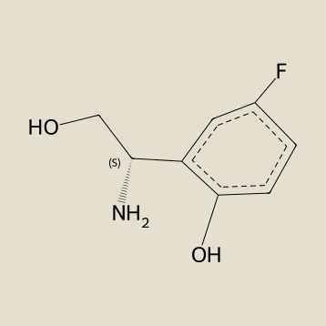 N[C@H](CO)c1cc(F)ccc1O